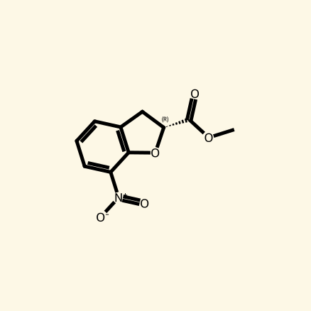 COC(=O)[C@H]1Cc2cccc([N+](=O)[O-])c2O1